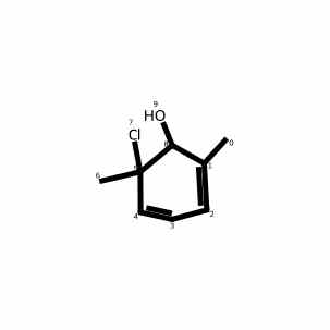 CC1=CC=CC(C)(Cl)C1O